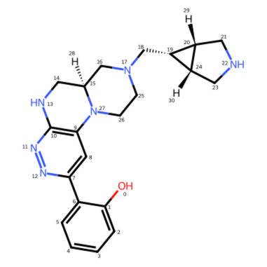 Oc1ccccc1-c1cc2c(nn1)NC[C@H]1CN(C[C@@H]3[C@@H]4CNC[C@@H]43)CCN21